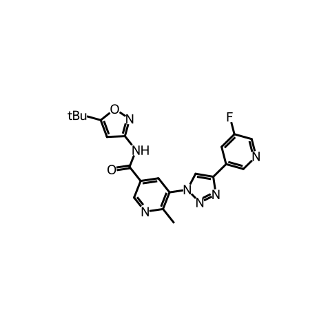 Cc1ncc(C(=O)Nc2cc(C(C)(C)C)on2)cc1-n1cc(-c2cncc(F)c2)nn1